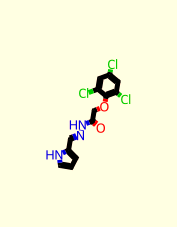 O=C(COc1c(Cl)cc(Cl)cc1Cl)N/N=C/c1ccc[nH]1